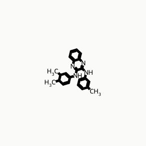 Cc1cccc(Nc2nc3ccccc3nc2NC2=CC(C)C(C)C=C2)c1